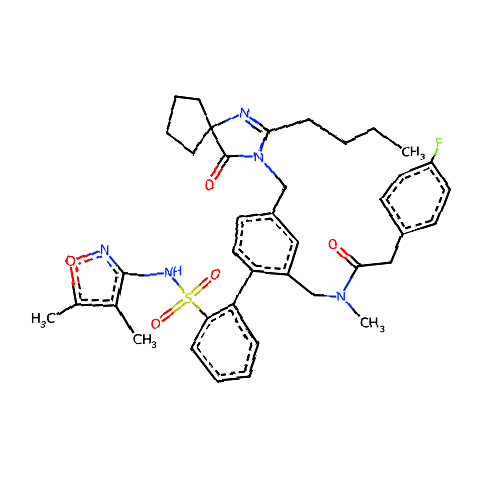 CCCCC1=NC2(CCCC2)C(=O)N1Cc1ccc(-c2ccccc2S(=O)(=O)Nc2noc(C)c2C)c(CN(C)C(=O)Cc2ccc(F)cc2)c1